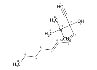 C#CC(O)(/C=C\C=C\CCCC)[Si](C)(C)C